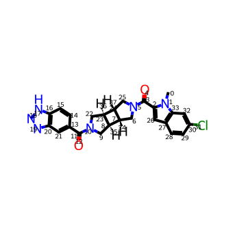 Cn1c(C(=O)N2C[C@@H]3[C@H]4CN(C(=O)c5ccc6[nH]nnc6c5)C[C@H]4[C@@H]3C2)cc2ccc(Cl)cc21